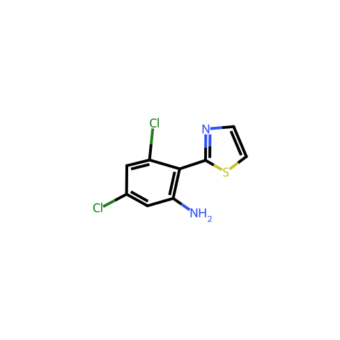 Nc1cc(Cl)cc(Cl)c1-c1nccs1